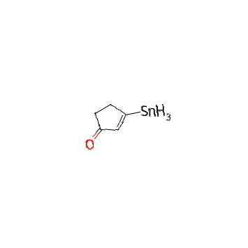 O=C1C=[C]([SnH3])CC1